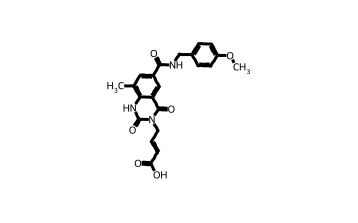 COc1ccc(CNC(=O)c2cc(C)c3[nH]c(=O)n(CC=CC(=O)O)c(=O)c3c2)cc1